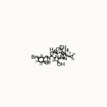 CC(C)(C)[C@@H](C(=O)N1C[C@H](O)C[C@H]1C(=O)NCc1cc(Br)ccc1Cl)n1cc(C2CC2)nn1